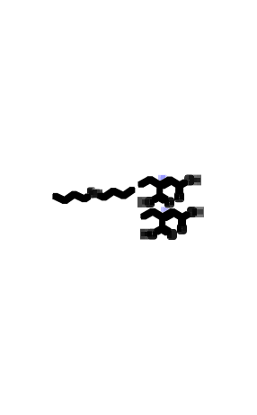 CC/C(=C/C(=O)O)C(=O)O.CC/C(=C/C(=O)O)C(=O)O.CCC[CH2][Sn][CH2]CCC